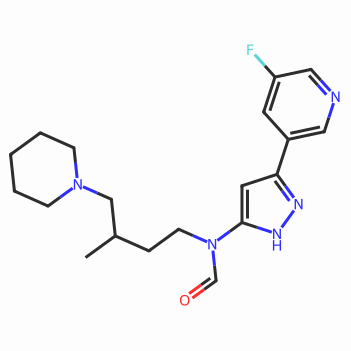 CC(CCN(C=O)c1cc(-c2cncc(F)c2)n[nH]1)CN1CCCCC1